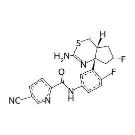 N#Cc1ccc(C(=O)Nc2ccc(F)c([C@]34C[C@@H](F)C[C@H]3CSC(N)=N4)c2)nc1